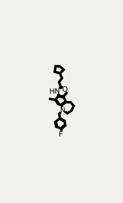 Cc1cc2c(c(C)c1NC(=O)CCC1CCCC1)CCCCN2Cc1ccc(F)cc1